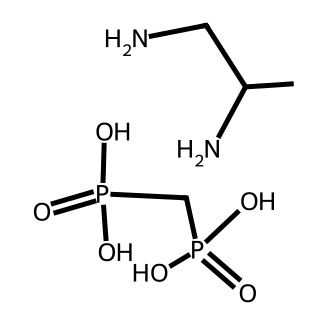 CC(N)CN.O=P(O)(O)CP(=O)(O)O